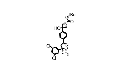 CC(C)(C)OC(=O)N1CC(O)(c2ccc(C3=NOC(c4cc(Cl)cc(Cl)c4)(C(F)(F)F)C3)cc2)C1